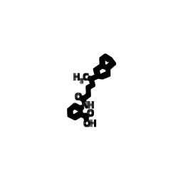 CC(CCCC(=O)Nc1ccccc1C(=O)O)c1ccc2ccccc2c1